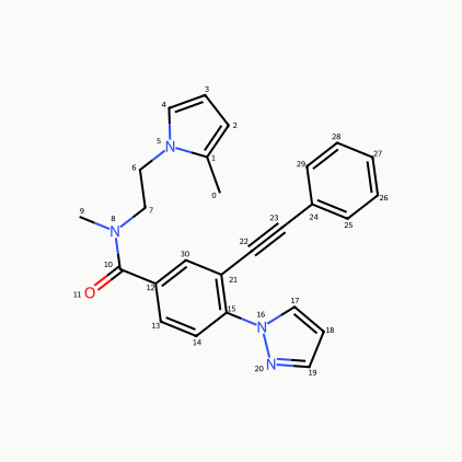 Cc1cccn1CCN(C)C(=O)c1ccc(-n2cccn2)c(C#Cc2ccccc2)c1